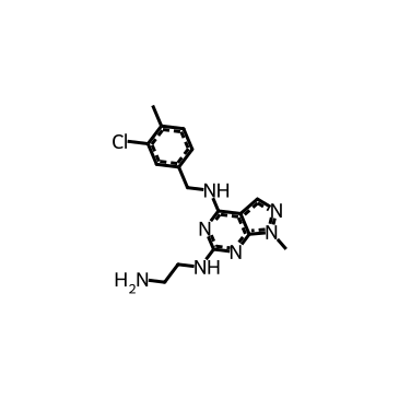 Cc1ccc(CNc2nc(NCCN)nc3c2cnn3C)cc1Cl